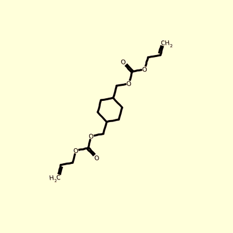 C=CCOC(=O)OCC1CCC(COC(=O)OCC=C)CC1